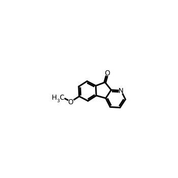 COc1ccc2c(c1)-c1cccnc1C2=O